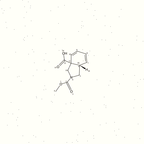 COC(=O)N1C[C@H]2C=CC=CC2(C(=O)O)C1